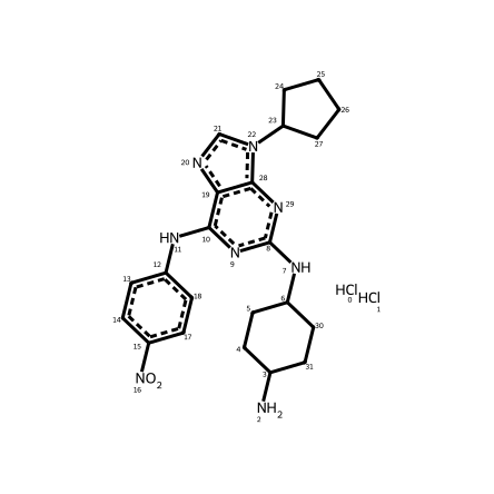 Cl.Cl.NC1CCC(Nc2nc(Nc3ccc([N+](=O)[O-])cc3)c3ncn(C4CCCC4)c3n2)CC1